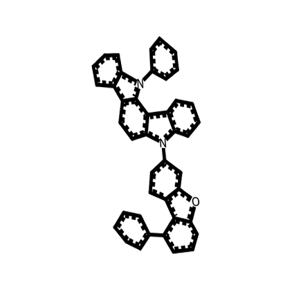 c1ccc(-c2cccc3oc4cc(-n5c6ccccc6c6c5ccc5c7ccccc7n(-c7ccccc7)c56)ccc4c23)cc1